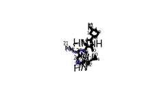 C=C(NC(C)c1cccc(F)c1)C(=N)/C(C)=C/C(=C\C=N\C)C(=N)/C=C\c1nc(C2CC2)c[nH]1